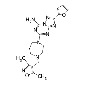 Cc1noc(C)c1CN1CCCN(c2nc(N)n3nc(-c4ccco4)nc3n2)CC1